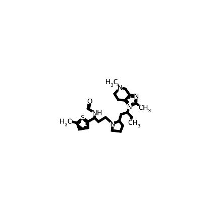 CCC(CC1CCCN1CCC(NC=O)c1ccc(C)s1)n1c(C)nc2c1CCN(C)C2